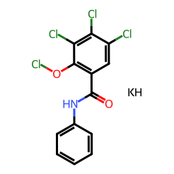 O=C(Nc1ccccc1)c1cc(Cl)c(Cl)c(Cl)c1OCl.[KH]